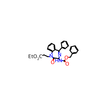 CCOC(=O)CCN1C(=O)C(NC(=O)OCc2ccccc2)N=C(c2ccccc2)c2ccccc21